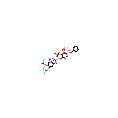 COc1c(OCc2ccccc2)cnc(C[S+]([O-])c2nc3cc(OC(F)F)c(OC(F)F)cc3[nH]2)c1C